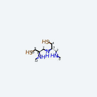 CNC[C@@H](CS)NC[C@H](CS)NC